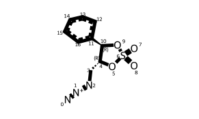 [N-]=[N+]=NC[C@H]1OS(=O)(=O)O[C@@H]1c1ccccc1